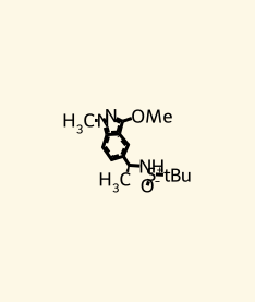 COc1nn(C)c2ccc([C@H](C)N[S+]([O-])C(C)(C)C)cc12